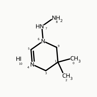 CC1(C)CN=CN(NN)C1.I